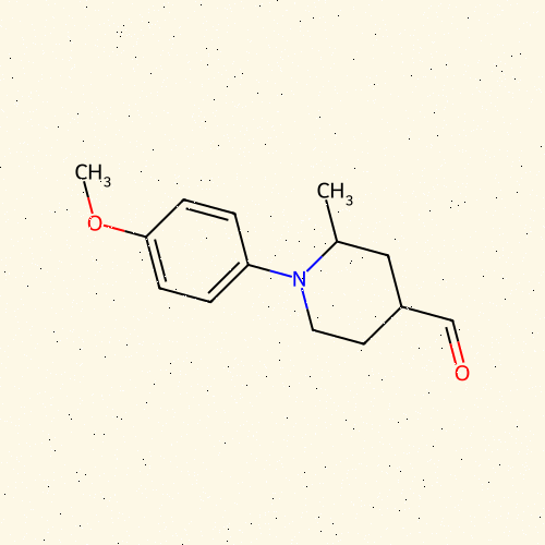 COc1ccc(N2CCC(C=O)CC2C)cc1